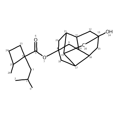 CC(C)CC1(C(=O)OC23CC4C5CC6(O)CC4C(C2)C(C6)C5C3)CCC1C